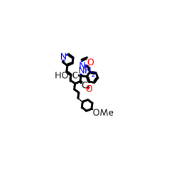 CO[C@H]1CC[C@@H](CCCC(CC=Cc2cccnc2)C(=C=O)C(N)(C(=O)O)c2ccccc2-c2ncco2)CC1